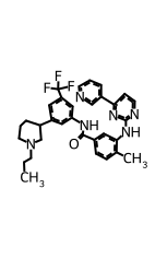 CCCN1CCCC(c2cc(NC(=O)c3ccc(C)c(Nc4nccc(-c5cccnc5)n4)c3)cc(C(F)(F)F)c2)C1